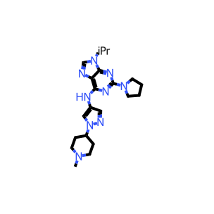 CC(C)n1cnc2c(Nc3cnn(C4CCN(C)CC4)c3)nc(N3CCCC3)nc21